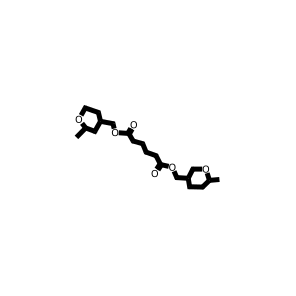 CC1CCC(COC(=O)CCCCC(=O)OCC2CCOC(C)C2)CO1